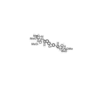 CC[C@H](C)[C@H](NC(=O)OC)C(=O)N1C[C@@H](C)CC1c1ncc(-c2ccc3c(c2)COc2cc4c(ccc5nc([C@@H]6C[C@H](COC)CN6C(O)[C@@H](NC(=O)OC)[C@@H](C)OC)[nH]c54)cc2-3)[nH]1